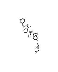 CCC1=NN(Cc2cccc(C)n2)C2CC=CC(NC(=O)c3cnc4cc(CCCN5CCN(C)CC5)ccn34)=C12